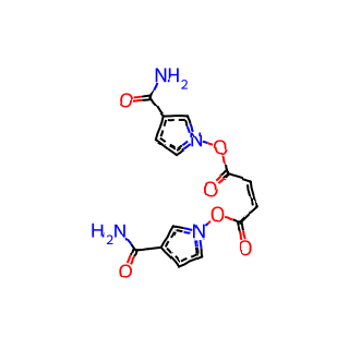 NC(=O)c1ccn(OC(=O)/C=C\C(=O)On2ccc(C(N)=O)c2)c1